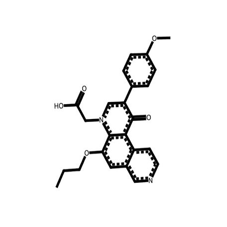 CCCOc1cc2cnccc2c2c(=O)c(-c3ccc(OC)cc3)cn(CC(=O)O)c12